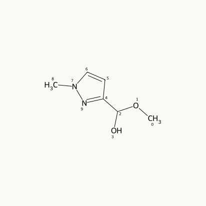 COC(O)c1ccn(C)n1